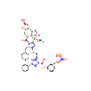 CCCc1nc(C(C)(C)O)c(C(=O)OCc2oc(=O)oc2C)n1Cc1ccc(-c2ccccc2-c2nnn(C(=O)Oc3cccc(CON(O)O)c3)n2)cc1